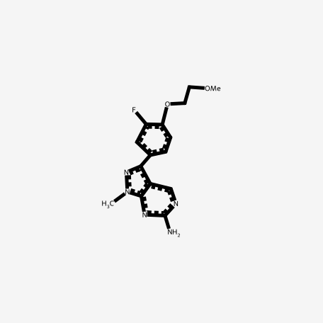 COCCOc1ccc(-c2nn(C)c3nc(N)ncc23)cc1F